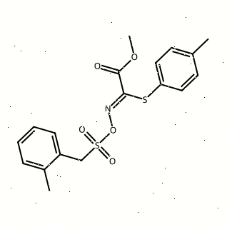 COC(=O)/C(=N/OS(=O)(=O)Cc1ccccc1C)Sc1ccc(C)cc1